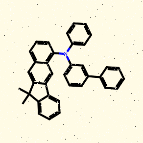 CC1(C)c2ccccc2-c2cc3c(N(c4ccccc4)c4cccc(-c5ccccc5)c4)cccc3cc21